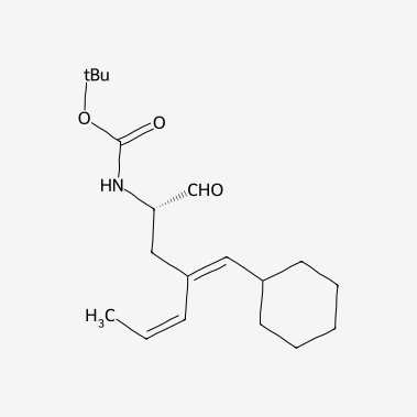 C/C=C\C(=C/C1CCCCC1)C[C@@H](C=O)NC(=O)OC(C)(C)C